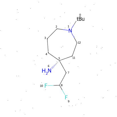 CC(C)(C)N1CCC[C@](N)(CC(F)F)CC1